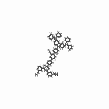 N#Cc1cccc(-c2cc(-c3ccc(-c4ccc(-c5ccc(-n6c7ccc(N(c8ccccc8)c8ccccc8)cc7c7cc(N(c8ccccc8)c8ccccc8)ccc76)cc5)c(C#N)c4)cc3)nc(-c3cccc(C#N)c3)n2)c1